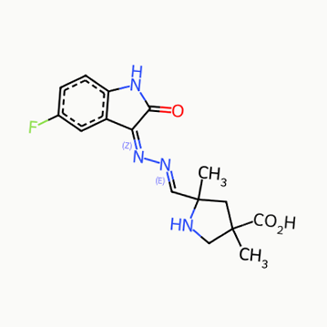 CC1(/C=N/N=C2\C(=O)Nc3ccc(F)cc32)CC(C)(C(=O)O)CN1